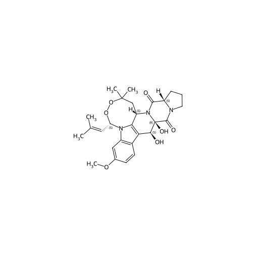 COc1ccc2c3c4n(c2c1)[C@H](C=C(C)C)OOC(C)(C)C[C@@H]4N1C(=O)[C@@H]2CCCN2C(=O)[C@]1(O)[C@H]3O